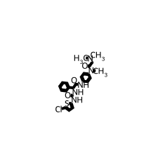 CN(C)CC(=O)N(C)c1ccc(NC(=O)C(NC(=O)Nc2ccc(Cl)s2)c2ccccc2)cc1